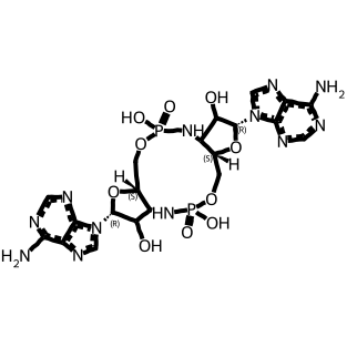 Nc1ncnc2c1ncn2[C@@H]1O[C@@H]2COP(=O)(O)NC3C(O)[C@H](n4cnc5c(N)ncnc54)O[C@@H]3COP(=O)(O)NC2C1O